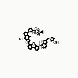 CC1c2cc(-c3cccc(-c4cccc(Nc5nccc6cc(CN7CC[C@@H](O)C7)cnc56)c4Cl)c3Cl)oc2C(C#N)=C2CC[C@@H](N3CC[C@@H](C(=O)NS(=O)(=O)C4CC4)C3)C21